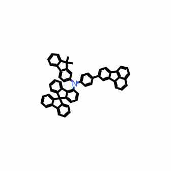 CC1(C)c2ccccc2-c2ccc(N(c3ccc(-c4ccc5c(c4)-c4cccc6cccc-5c46)cc3)c3cccc4c3-c3ccccc3C43c4ccccc4-c4ccccc43)cc21